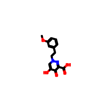 COc1cccc(CCn2cc(O)c(=O)c(C(=O)O)n2)c1